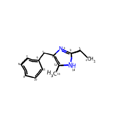 CCc1nc(Cc2ccccc2)c(C)[nH]1